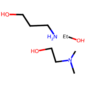 CCO.CN(C)CCO.NCCCO